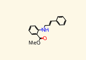 COC(=O)c1ccccc1NCC=Cc1ccccc1